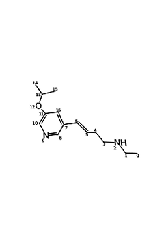 CCNCCC=Cc1cncc(OC(C)C)c1